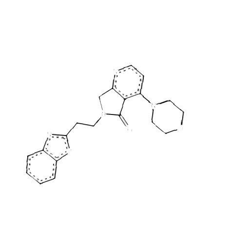 O=C1c2c(N3CCOCC3)ccnc2CN1CCc1nc2ccccc2s1